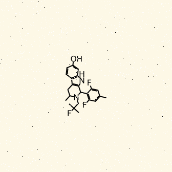 Cc1cc(F)c(C2c3[nH]c4cc(O)ccc4c3CC(C)N2CC(C)(C)F)c(F)c1